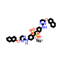 O=S(=O)([O-])C(=C(c1ccc(Nc2nccc(Oc3ccc4ccccc4c3)n2)cc1)S(=O)(=O)[O-])c1ccc(Nc2nccc(Oc3ccc4ccccc4c3)n2)cc1.[Na+].[Na+]